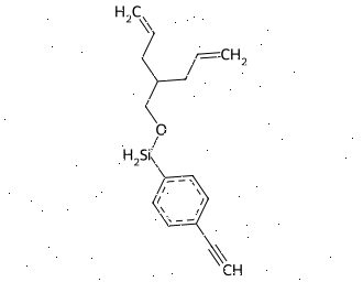 C#Cc1ccc([SiH2]OCC(CC=C)CC=C)cc1